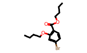 CCCCOC(=O)c1ccc(Br)cc1OCCCC